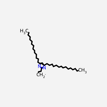 [CH2]CCc1nc(CCCCCCCCCCCCCCC)cc(CCCCCCCCCCCCCCC)n1